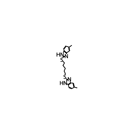 Cc1ccc2[nH]c(SCCCCCSc3nc4cc(C)ccc4[nH]3)nc2c1